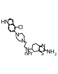 CCCN(CCN1CCN(c2ccc3[nH]ccc3c2Cl)CC1)C1CCc2nc(N)sc2C1